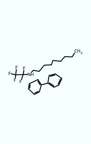 CCCCCCCCCNC(F)(F)C(F)(F)F.c1ccc(-c2ccccc2)cc1